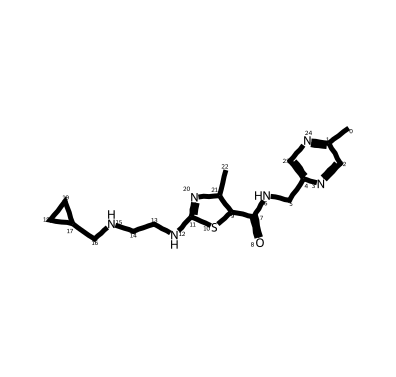 Cc1cnc(CNC(=O)C2SC(NCCNCC3CC3)=NC2C)cn1